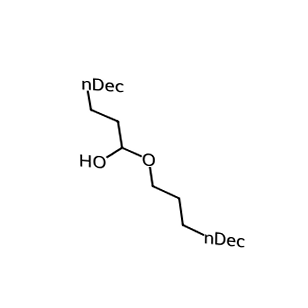 CCCCCCCCCCCCCOC(O)CCCCCCCCCCCC